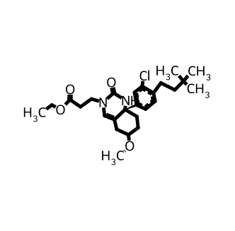 CCOC(=O)CCN1C=C2CC(OC)CC[C@@]2(c2ccc(CCC(C)(C)C)c(Cl)c2)NC1=O